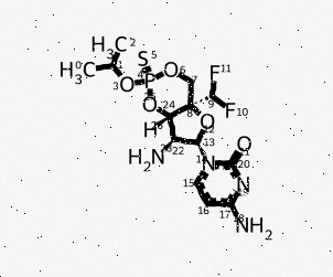 CC(C)OP1(=S)OC[C@@]2(C(F)F)O[C@@H](n3ccc(N)nc3=O)[C@@H](N)[C@@H]2O1